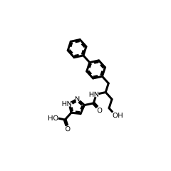 O=C(NC(CCO)Cc1ccc(-c2ccccc2)cc1)c1cc(C(=O)O)[nH]n1